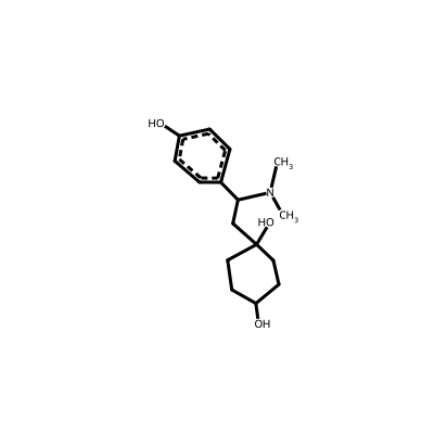 CN(C)C(CC1(O)CCC(O)CC1)c1ccc(O)cc1